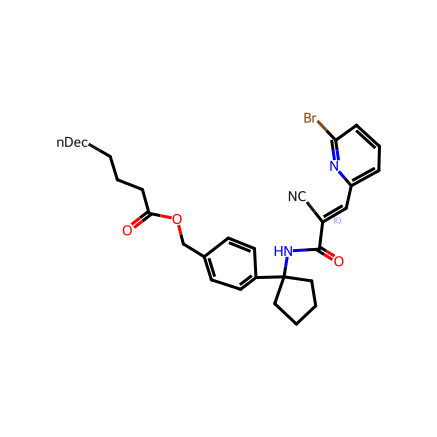 CCCCCCCCCCCCCC(=O)OCc1ccc(C2(NC(=O)/C(C#N)=C/c3cccc(Br)n3)CCCC2)cc1